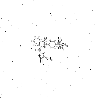 Cc1cc(Nc2nn(C3CCC(C(C)(C)C)CC3)c(=O)c3ccccc23)n[nH]1